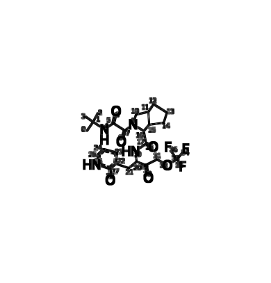 CC(C)(C)NC(=O)C(=O)N1CC2CCCC2C1C(=O)NC(Cc1ccc[nH]c1=O)C(=O)COC(F)(F)F